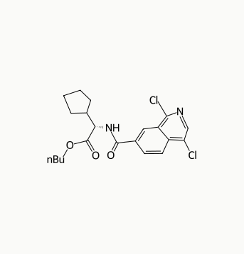 CCCCOC(=O)[C@@H](NC(=O)c1ccc2c(Cl)cnc(Cl)c2c1)C1CCCC1